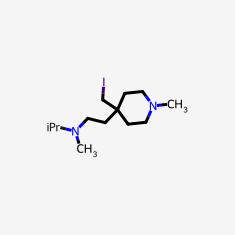 CC(C)N(C)CCC1(CI)CCN(C)CC1